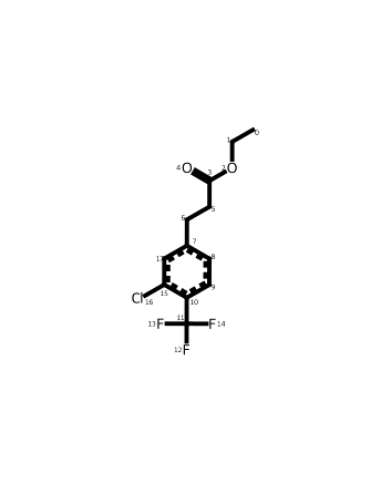 CCOC(=O)CCc1ccc(C(F)(F)F)c(Cl)c1